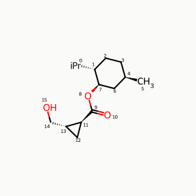 CC(C)[C@@H]1CC[C@@H](C)C[C@H]1OC(=O)[C@H]1C[C@@H]1CO